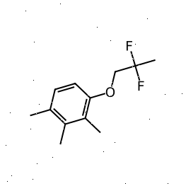 Cc1ccc(OCC(C)(F)F)c(C)c1C